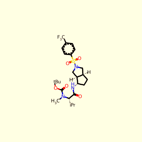 CC(C)[C@@H](C(=O)N[C@H]1CC[C@@H]2CN(S(=O)(=O)c3ccc(C(F)(F)F)cc3)C[C@@H]21)N(C)C(=O)OC(C)(C)C